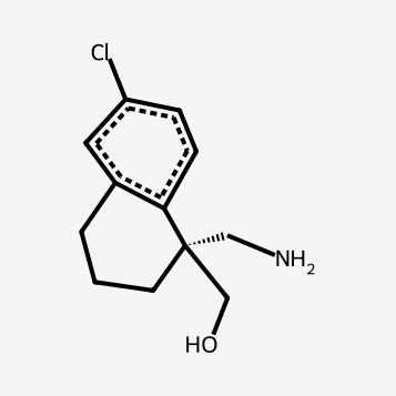 NC[C@]1(CO)CCCc2cc(Cl)ccc21